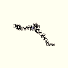 COCCOCCOC(=O)OC[n+]1ccc(N/C(=N\CCCCCCOc2ccc(Cl)cc2)NC#N)cc1.[Cl-]